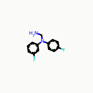 NCN(c1ccc(F)cc1)c1cccc(F)c1